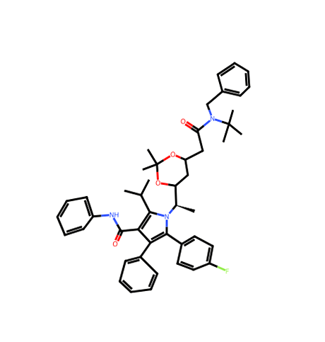 CC(C)c1c(C(=O)Nc2ccccc2)c(-c2ccccc2)c(-c2ccc(F)cc2)n1[C@H](C)C1CC(CC(=O)N(Cc2ccccc2)C(C)(C)C)OC(C)(C)O1